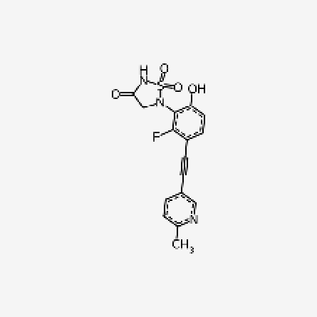 Cc1ccc(C#Cc2ccc(O)c(N3CC(=O)NS3(=O)=O)c2F)cn1